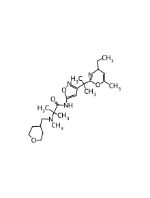 CCC1C=C(C)OC(C(C)(C)c2cc(NC(=O)C(C)(C)N(C)CC3CCOCC3)on2)=N1